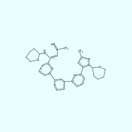 N=C(/C=C(\NC1CCCCO1)c1cccc(-c2cccc(-c3cccc(-c4cc(C(F)(F)F)nn4C4CCCCO4)n3)c2)n1)C(F)(F)F